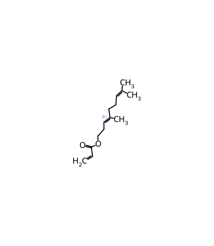 C=CC(=O)OCC/C=C(\C)CCC=C(C)C